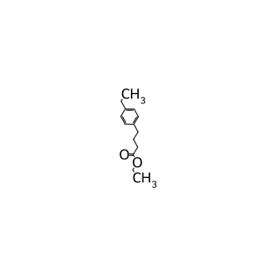 CCOC(=O)CCCc1ccc(CC)cc1